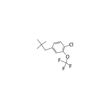 CC(C)(C)Cc1ccc(Cl)c(OC(F)(F)F)c1